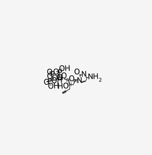 C#CC[C@]1(O)C[C@H](n2ccc(N)nc2=O)O[C@@H]1COP(=O)(O)OP(=O)(O)OP(=O)(O)O